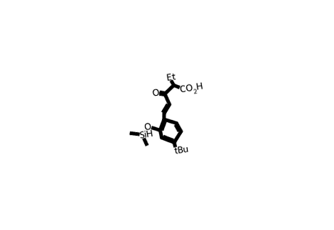 CCC(C(=O)O)C(=O)C=Cc1ccc(C(C)(C)C)cc1O[SiH](C)C